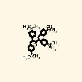 CN(C)c1ccc(C=C(C(=O)C(=Cc2ccc(N(C)C)cc2)c2ccc(N(C)C)cc2)c2ccc(N(C)C)cc2)cc1